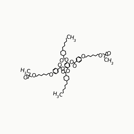 CCCCCCC1CCC(C(=O)Oc2cc(OC(=O)c3ccc(OCCCCCCOCC4(CC)COC4)cc3)c(OC(=O)C3CCC(CCCCCC)CC3)cc2OC(=O)c2ccc(OCCCCCCOCC3(CC)COC3)cc2)CC1